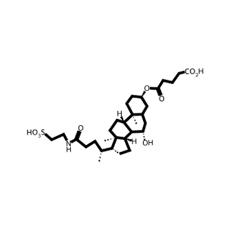 C[C@H](CCC(=O)NCCS(=O)(=O)O)[C@H]1CC[C@H]2C3[C@@H](O)CC4C[C@H](OC(=O)CCCC(=O)O)CC[C@]4(C)[C@H]3CC[C@]12C